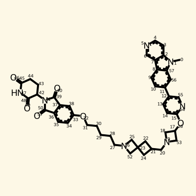 Cn1c2ccncc2c2ccc(-c3ccc(OC4CN(CC5CC6(C5)CN(CCCCCOc5ccc7c(c5)C(=O)N(C5CCC(=O)NC5=O)C7=O)C6)C4)nc3)cc21